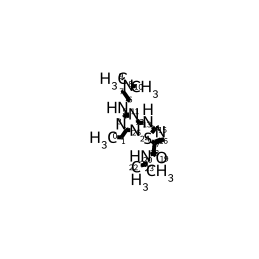 CCc1nc(NCCN(C)C)nc(Nc2ncc(C(=O)NC(C)C)s2)n1